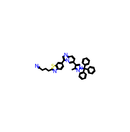 Cc1nn(C(c2ccccc2)(c2ccccc2)c2ccccc2)cc1-c1ccc2ncc(-c3ccc4nc(CCCC#N)sc4c3)n2c1